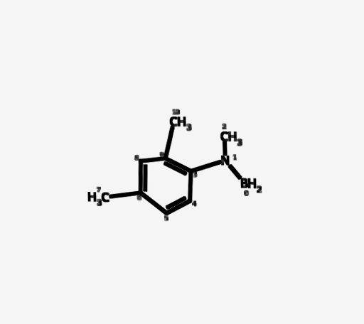 BN(C)c1ccc(C)cc1C